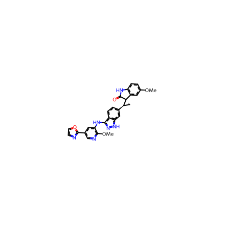 COc1ccc2c(c1)[C@]1(C[C@H]1c1ccc3c(Nc4cc(-c5ncco5)cnc4OC)n[nH]c3c1)C(=O)N2